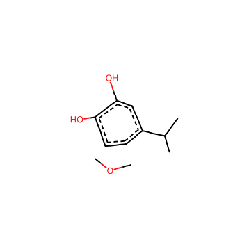 CC(C)c1ccc(O)c(O)c1.COC